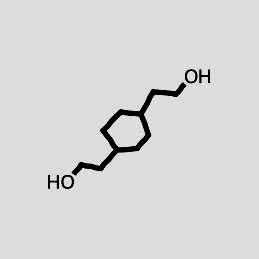 OCCC1CCC(CCO)CC1